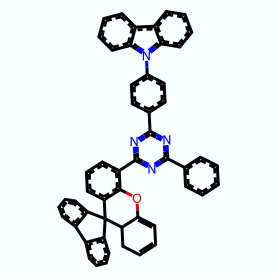 C1=CCC2C(=C1)Oc1c(-c3nc(-c4ccccc4)nc(-c4ccc(-n5c6ccccc6c6ccccc65)cc4)n3)cccc1C21c2ccccc2-c2ccccc21